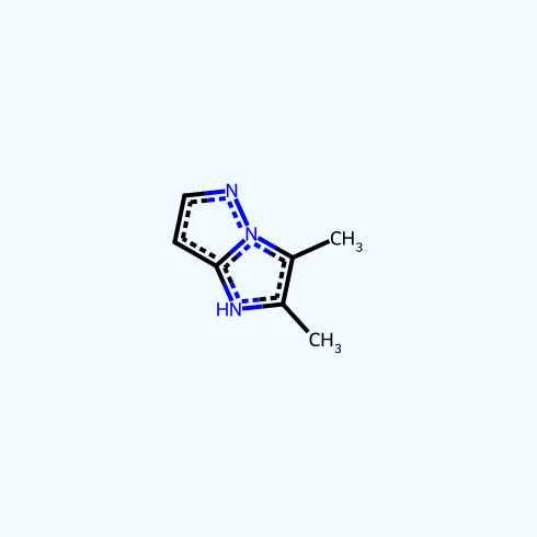 Cc1[nH]c2ccnn2c1C